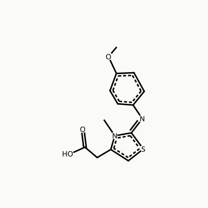 COc1ccc(/N=c2/scc(CC(=O)O)n2C)cc1